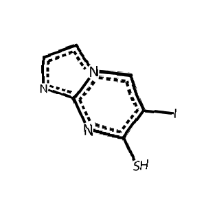 Sc1nc2nccn2cc1I